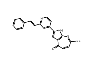 CCCCc1ccc(=O)c2cc(-c3ccnc(/C=C/c4ccccc4)c3)[nH]c2n1